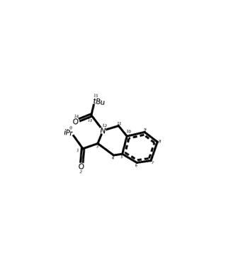 CC(C)C(=O)C1Cc2ccccc2CN1C(=O)C(C)(C)C